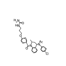 CC(=O)N(c1ccc(Cl)cc1)C1CC(C)N(C(=O)c2ccc(OCCCNC(N)=O)cc2)c2ccccc21